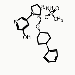 CS(=O)(=O)N[C@H]1CCN(c2cncc(O)c2)[C@H]1CO[C@H]1CC[C@@H](c2ccccc2)CC1